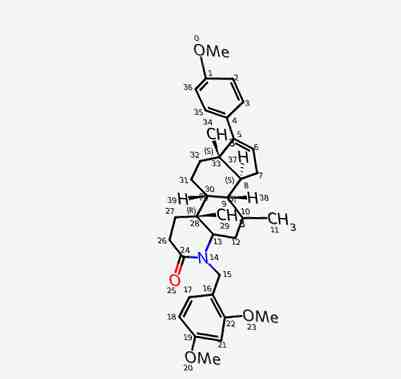 COc1ccc(C2=CC[C@H]3[C@@H]4C(C)CC5N(Cc6ccc(OC)cc6OC)C(=O)CC[C@]5(C)[C@@H]4CC[C@]23C)cc1